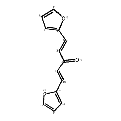 O=C(C=Cc1ccco1)C=Cc1ccco1